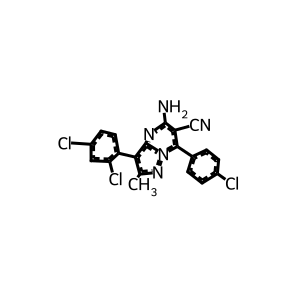 Cc1nn2c(-c3ccc(Cl)cc3)c(C#N)c(N)nc2c1-c1ccc(Cl)cc1Cl